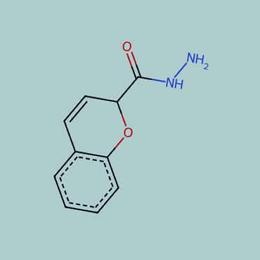 NNC(=O)C1C=Cc2ccccc2O1